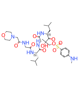 CNc1ccc(S(=O)(=O)OCC(C)(O)C(=O)[C@H](CC(C)C)NC(=O)CNC(=O)[C@H](CC(C)C)NC(=O)CNC(=O)CN2CCOCC2)cc1